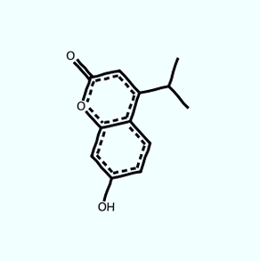 CC(C)c1cc(=O)oc2cc(O)ccc12